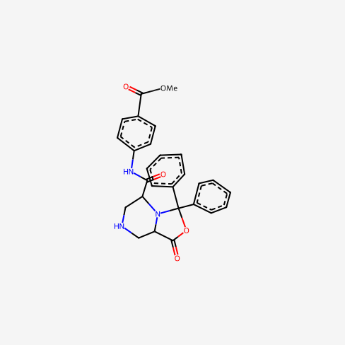 COC(=O)c1ccc(NC(=O)C2CNCC3C(=O)OC(c4ccccc4)(c4ccccc4)N23)cc1